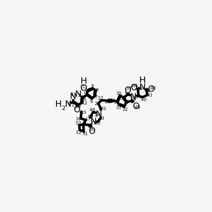 Nc1nnc(-c2ccccc2O)cc1OCCCC1(C(=O)N2CCN(CCCC#Cc3ccc4c(c3)C(=O)N(C3CCC(=O)NC3=O)C4=O)CC2)CCC1